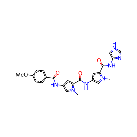 COc1ccc(C(=O)Nc2cc(C(=O)Nc3cc(C(=O)Nc4c[nH]cn4)n(C)c3)n(C)c2)cc1